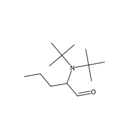 CCCC(C=O)N(C(C)(C)C)C(C)(C)C